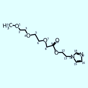 COCCOCCOCC(=O)OCCn1ccnc1